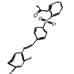 CC(=O)c1ccccc1S(=O)(=O)c1ccc(C=Cc2ccc(F)cc2F)cc1